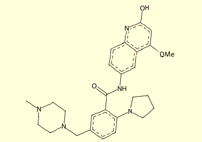 COc1cc(O)nc2ccc(NC(=O)c3cc(CN4CCN(C)CC4)ccc3N3CCCC3)cc12